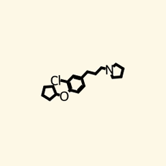 Clc1cc(CCCN2CCCC2)ccc1OC1CCCC1